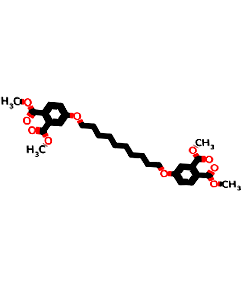 COC(=O)c1ccc(OCCCCCCCCCCOc2ccc(C(=O)OC)c(C(=O)OC)c2)cc1C(=O)OC